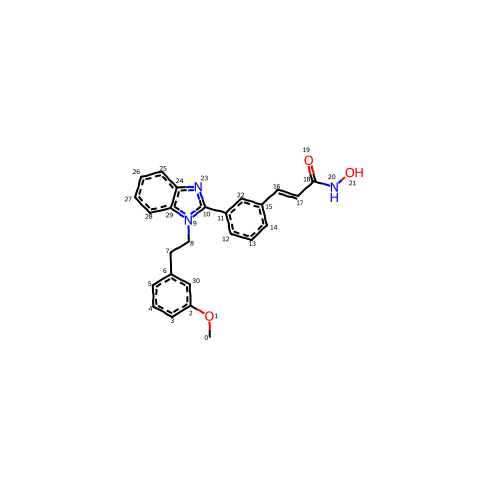 COc1cccc(CCn2c(-c3cccc(C=CC(=O)NO)c3)nc3ccccc32)c1